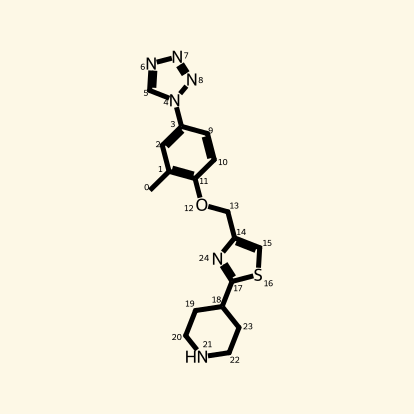 Cc1cc(-n2cnnn2)ccc1OCc1csc(C2CCNCC2)n1